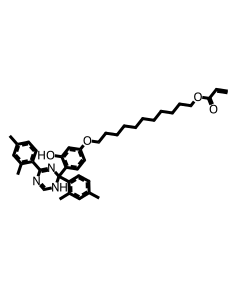 C=CC(=O)OCCCCCCCCCCCOc1ccc(C2(c3ccc(C)cc3C)N=C(c3ccc(C)cc3C)N=CN2)c(O)c1